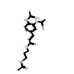 CC(=O)OCCCOC(=O)/C=C/c1ccc(OC(C)=O)c(OC(C)=O)c1